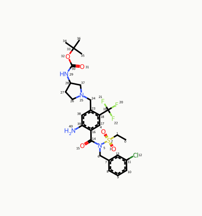 CCS(=O)(=O)N(Cc1cccc(Cl)c1)C(=O)c1cc(C(F)(F)F)c(CN2CCC(NC(=O)OC(C)(C)C)C2)cc1N